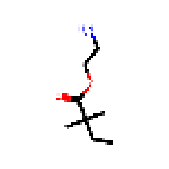 CCC(C)(C)C(=O)OCCN